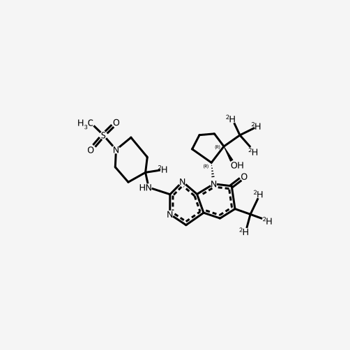 [2H]C1(Nc2ncc3cc(C([2H])([2H])[2H])c(=O)n([C@@H]4CCC[C@]4(O)C([2H])([2H])[2H])c3n2)CCN(S(C)(=O)=O)CC1